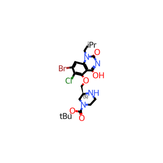 CC(C)Cn1c(=O)nc(O)c2c(OC[C@@H]3CN(C(=O)OC(C)(C)C)CCN3)c(Cl)c(Br)cc21